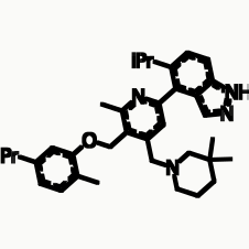 Cc1ccc(C(C)C)cc1OCc1c(CN2CCCC(C)(C)C2)cc(-c2c(C(C)C)ccc3[nH]ncc23)nc1C